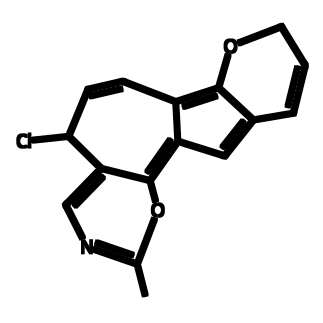 CC1=NC=C2C(=C3C=C4C=CCOC4=C3C=CC2Cl)O1